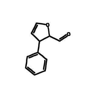 O=CC1OC=CC1c1ccccc1